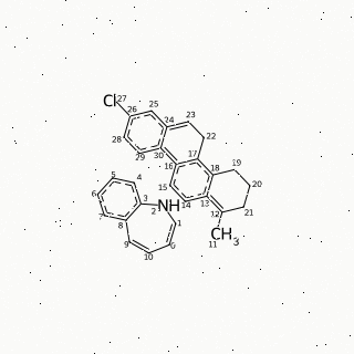 C1=CNc2ccccc2C=C1.CC1=c2ccc3c(c2CCC1)CC=c1cc(Cl)ccc1=3